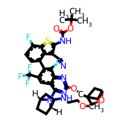 COCCNC1C[C@H]2CC[C@@H]1N2c1nc(OCC23COC(C2)C3)nc2c(F)c(-c3ccc(F)c4sc(NC(=O)OC(C)(C)C)c(C#N)c34)c(C(F)(F)F)cc12